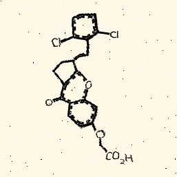 O=C(O)COc1ccc2c(=O)c3c(oc2c1)C(=Cc1c(Cl)cccc1Cl)CC3